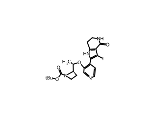 C[C@@H](Oc1cnccc1-c1[nH]c2c(c1I)C(=O)NCC2)[C@H]1CCN1C(=O)OC(C)(C)C